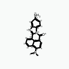 CN(C)c1ccc2c(=O)n3c4ccc(N)cc4nc3c3cccc1c23